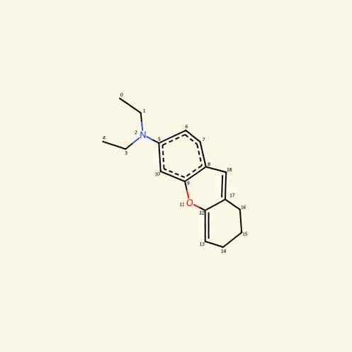 CCN(CC)c1ccc2c(c1)OC1=CCCCC1=C2